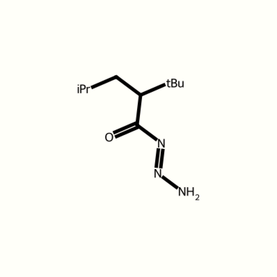 CC(C)CC(C(=O)N=NN)C(C)(C)C